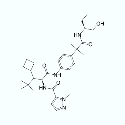 CC[C@@H](CO)NC(=O)C(C)(C)c1ccc(NC(=O)[C@@H](NC(=O)c2ccnn2C)C(C2CCC2)C2(C)CC2)cc1